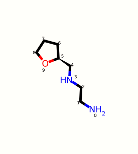 NCCNC[C@@H]1CCCO1